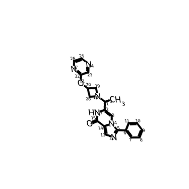 CC(c1cn2c(-c3ccccc3)ncc2c(=O)[nH]1)N1CC(Oc2cnccn2)C1